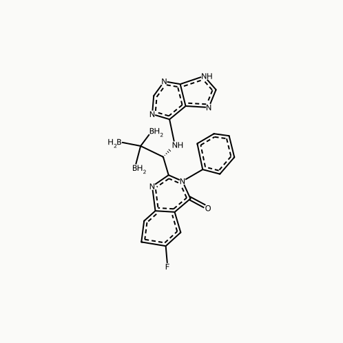 BC(B)(B)[C@H](Nc1ncnc2[nH]cnc12)c1nc2ccc(F)cc2c(=O)n1-c1ccccc1